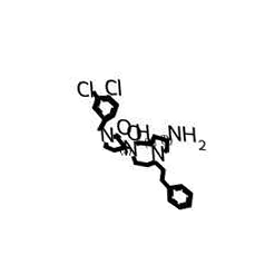 N[C@@H]1C[C@H]2C(=O)N([C@H]3CCN(Cc4ccc(Cl)c(Cl)c4)C3=O)CCC(CCc3ccccc3)N2C1